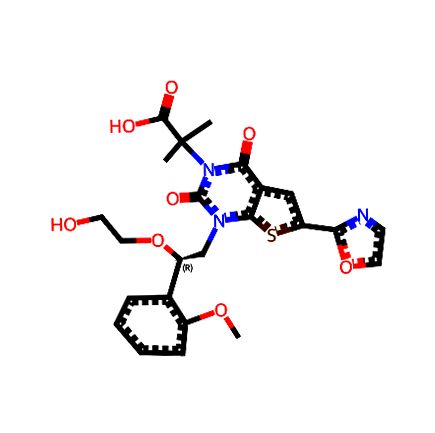 COc1ccccc1[C@H](Cn1c(=O)n(C(C)(C)C(=O)O)c(=O)c2cc(-c3ncco3)sc21)OCCO